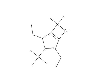 CCC1=C(C(C)(C)C)C(CC)C2=C1BC2(C)C